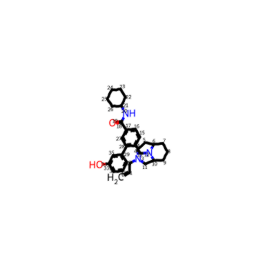 C=CCN1CCC2CCCC(C1)N2Cc1ccc(C(=O)NC2CCCCC2)cc1-c1cccc(O)c1